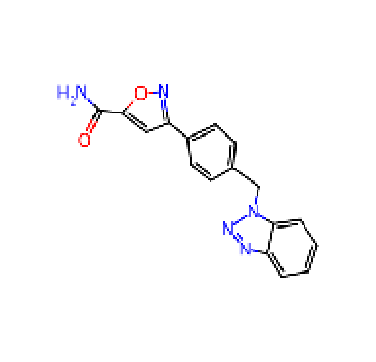 NC(=O)c1cc(-c2ccc(Cn3nnc4ccccc43)cc2)no1